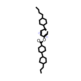 C=C(/C=C\C(=C/C)OC(=O)C1CCC(C2CCC(CCC)CC2)CC1)C1CCC(CCCC)CC1